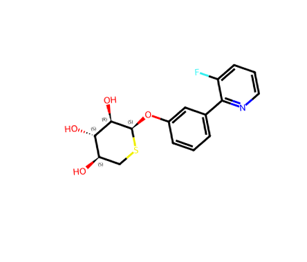 O[C@@H]1[C@@H](O)[C@@H](Oc2cccc(-c3ncccc3F)c2)SC[C@H]1O